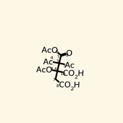 CC(=O)OC(=O)C(C(C)=O)(C(C)=O)C(CC(=O)O)(OC(C)=O)C(=O)O